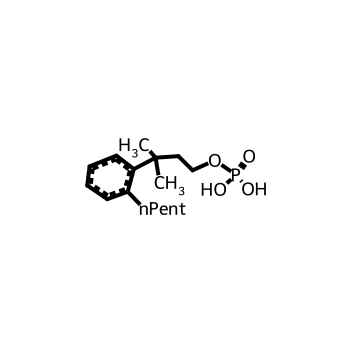 CCCCCc1ccccc1C(C)(C)CCOP(=O)(O)O